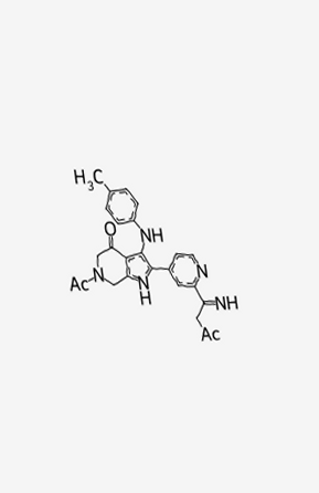 CC(=O)CC(=N)c1cc(-c2[nH]c3c(c2Nc2ccc(C)cc2)C(=O)CN(C(C)=O)C3)ccn1